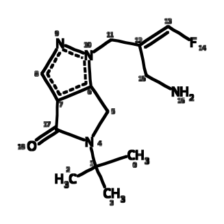 CC(C)(C)N1Cc2c(cnn2C/C(=C/F)CN)C1=O